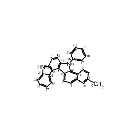 Cc1ccc2c(ccc3c4c5c(ccc4n(-c4ccccc4)c23)[nH]c2ccccc25)c1